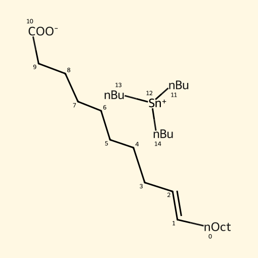 CCCCCCCCC=CCCCCCCCC(=O)[O-].CCC[CH2][Sn+]([CH2]CCC)[CH2]CCC